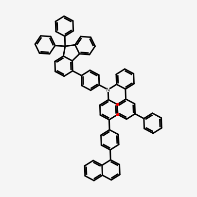 c1ccc(-c2cccc(-c3ccccc3N(c3ccc(-c4ccc(-c5cccc6ccccc56)cc4)cc3)c3ccc(-c4cccc5c4-c4ccccc4C5(c4ccccc4)c4ccccc4)cc3)c2)cc1